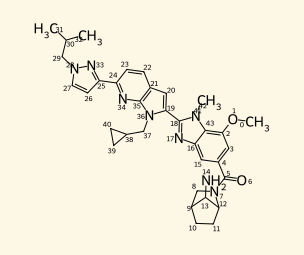 COc1cc(C(=O)N2CC3CCC2C3N)cc2nc(-c3cc4ccc(-c5ccn(CC(C)C)n5)nc4n3CC3CC3)n(C)c12